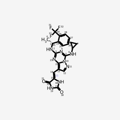 C[C@@H](Nc1nc(NC2CC2)n2ncc(/C=C3\NC(=O)NC3=O)c2n1)c1ccccc1C(F)(F)F